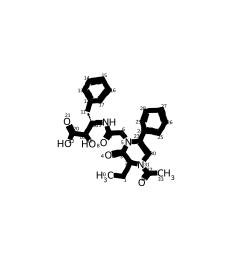 CCC1C(=O)N(CC(=O)N[C@@H](Cc2ccccc2)C(O)C(=O)O)C(c2ccccc2)=CN1C(C)=O